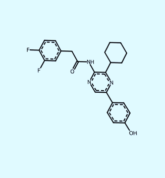 O=C(Cc1ccc(F)c(F)c1)Nc1ncc(-c2ccc(O)cc2)nc1C1CCCCC1